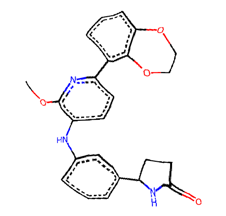 COc1nc(-c2cccc3c2OCCO3)ccc1Nc1cccc(C2CCC(=O)N2)c1